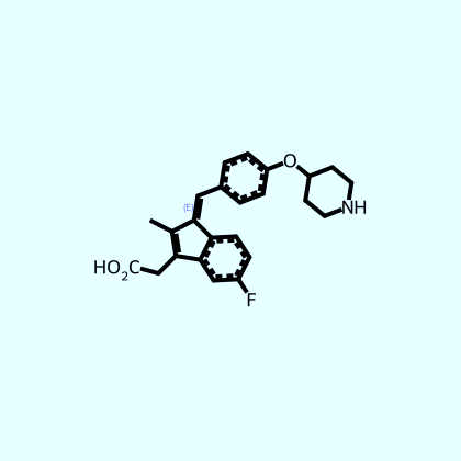 CC1=C(CC(=O)O)c2cc(F)ccc2/C1=C\c1ccc(OC2CCNCC2)cc1